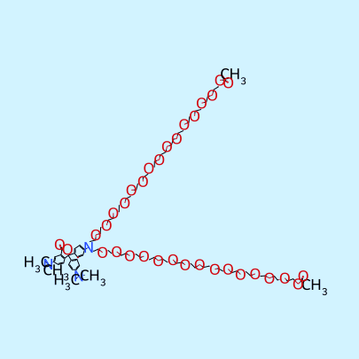 CC(=O)OCCOCCOCCOCCOCCOCCOCCOCCOCCOCCOCCOCCOCCOCCOCCN(CCOCCOCCOCCOCCOCCOCCOCCOCCOCCOCCOCCOCCOCCOCCOC(C)=O)c1ccc(C2(c3ccc(N(C)C)cc3)OC(=O)c3cc(N(C)C)ccc32)cc1